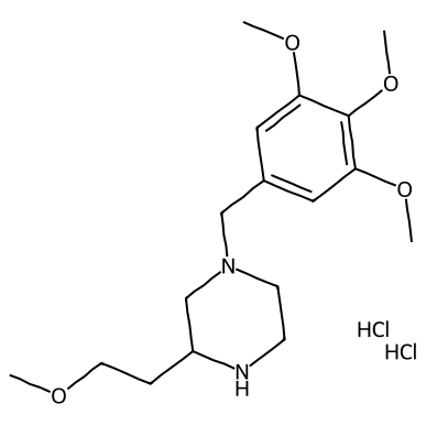 COCCC1CN(Cc2cc(OC)c(OC)c(OC)c2)CCN1.Cl.Cl